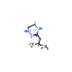 CC(C)CC1=NNCCN1